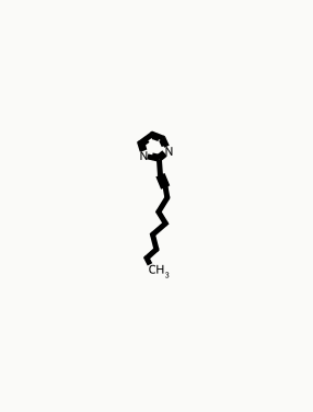 CCCCCCCC#Cc1ncccn1